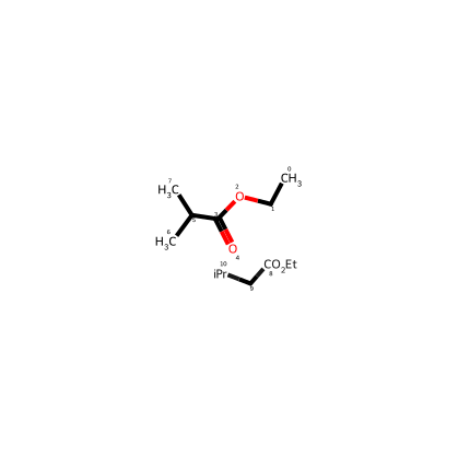 CCOC(=O)C(C)C.CCOC(=O)CC(C)C